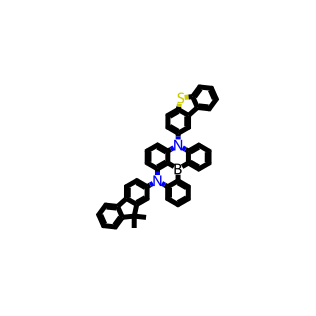 CC1(C)c2ccccc2-c2ccc(N3c4ccccc4B4c5ccccc5N(c5ccc6sc7ccccc7c6c5)c5cccc3c54)cc21